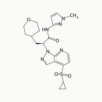 Cn1ccc(NC(=O)[C@H](CC2CCOCC2)n2ncc3c(S(=O)(=O)C4CC4)ccnc32)n1